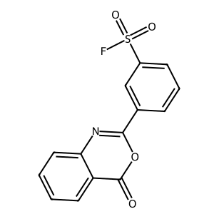 O=c1oc(-c2cccc(S(=O)(=O)F)c2)nc2ccccc12